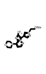 COCCn1cc(-c2c(C(F)(F)F)nc3c(N4CCOCC4)ccnn23)cn1